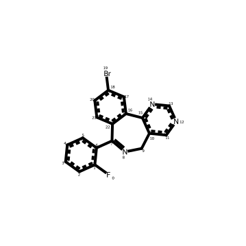 Fc1ccccc1C1=NCc2cncnc2-c2cc(Br)ccc21